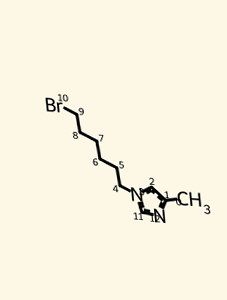 Cc1cn(CCCCCCBr)cn1